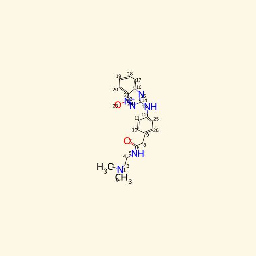 CN(C)CCNC(=O)Cc1ccc(Nc2nc3ccccc3[n+]([O-])n2)cc1